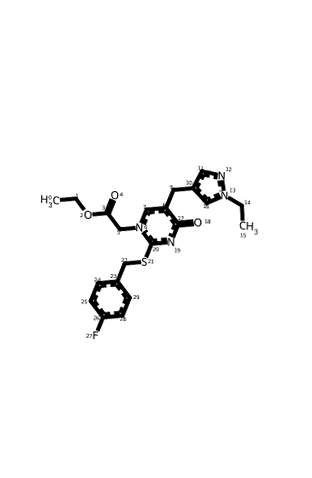 CCOC(=O)Cn1cc(Cc2cnn(CC)c2)c(=O)nc1SCc1ccc(F)cc1